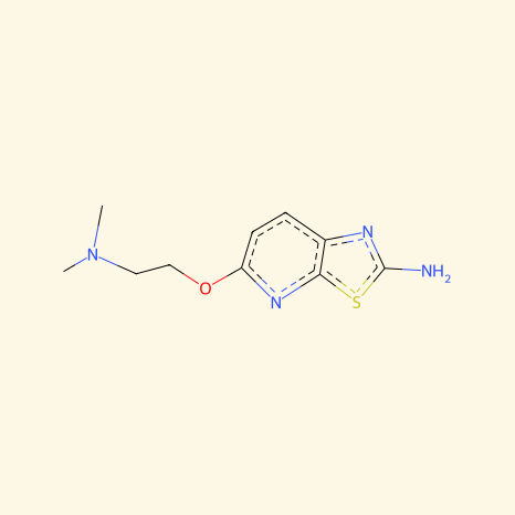 CN(C)CCOc1ccc2nc(N)sc2n1